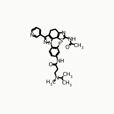 CC(=O)Nc1nc2c(s1)-c1c(c(-c3cccnc3)nn1-c1ccc(NC(=O)CCN(C)C(C)C)cc1F)CC2